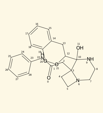 O=C(CC12CCN1CCNC2(O)C1Cc2ccccc2OO1)Nc1ccccc1